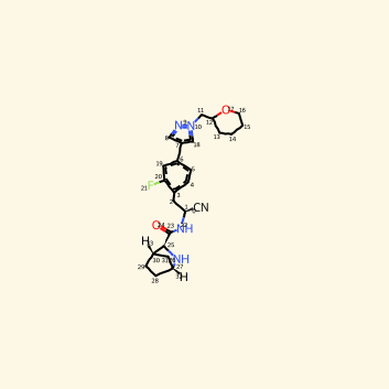 N#C[C@H](Cc1ccc(-c2cnn(CC3CCCCO3)c2)cc1F)NC(=O)[C@H]1N[C@@H]2CC[C@H]1C2